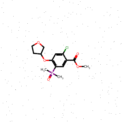 COC(=O)c1cc(P(C)(C)=O)c(OC2CCOC2)cc1Cl